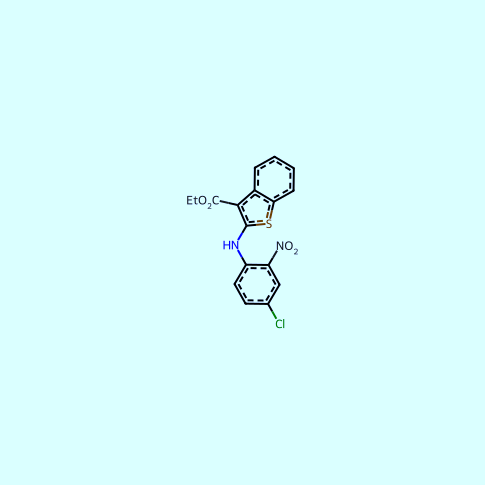 CCOC(=O)c1c(Nc2ccc(Cl)cc2[N+](=O)[O-])sc2ccccc12